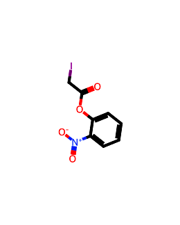 O=C(CI)Oc1ccccc1[N+](=O)[O-]